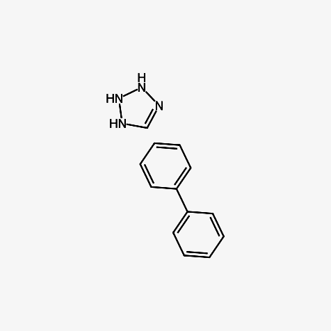 C1=NNNN1.c1ccc(-c2ccccc2)cc1